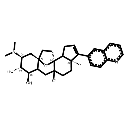 CN(C)[C@H]1C[C@@]23CC[C@]4(O2)C2CC=C(c5ccc6ncccc6c5)[C@@]2(C)CCC4(Cl)CC3[C@@H](O)[C@@H]1O